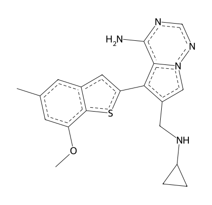 COc1cc(C)cc2cc(-c3c(CNC4CC4)cn4ncnc(N)c34)sc12